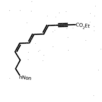 CCCCCCCCCCC\C=C/C=C/C=C/C#CC(=O)OCC